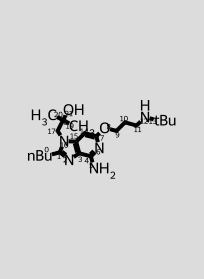 CCCCc1nc2c(N)nc(OCCCNC(C)(C)C)cc2n1CC(C)(C)O